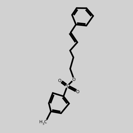 Cc1ccc(S(=O)(=O)OCCCC=Cc2ccccc2)cc1